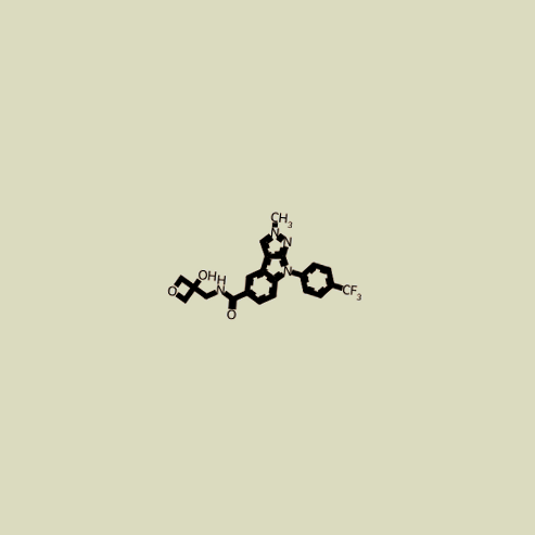 Cn1cc2c3cc(C(=O)NCC4(O)COC4)ccc3n(-c3ccc(C(F)(F)F)cc3)c2n1